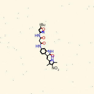 Cc1[nH]c(/C=C2\C(=O)Nc3cc(NC(=O)CC(=O)Nc4cc(C(C)(C)C)on4)ccc32)c(C)c1[N+](=O)[O-]